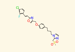 CS(=O)(=O)Cc1nccn1CCCCc1ccc(OCc2coc(/C=C/c3ccc(Cl)cc3F)n2)cc1